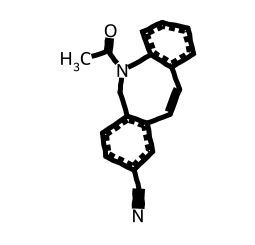 CC(=O)N1Cc2ccc(C#N)cc2C=Cc2ccccc21